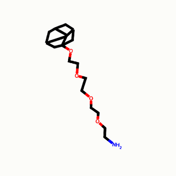 NCCOCCOCCOCCOC12CC3CC(CC(C3)C1)C2